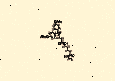 COc1ccc(C2(c3ccc(OC)cc3)C[C@H]2/C=C/C(=O)NCCCCc2ncc[nH]2)cc1